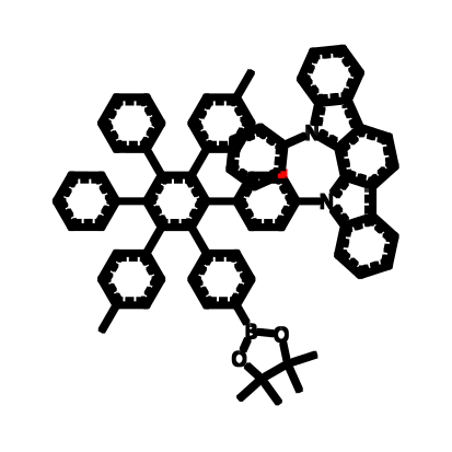 Cc1ccc(-c2c(-c3ccccc3)c(-c3ccccc3)c(-c3ccc(C)cc3)c(-c3ccc(-n4c5ccccc5c5ccc6c7ccccc7n(-c7ccccc7)c6c54)cc3)c2-c2ccc(B3OC(C)(C)C(C)(C)O3)cc2)cc1